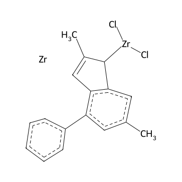 CC1=Cc2c(-c3ccccc3)cc(C)cc2[CH]1[Zr]([Cl])[Cl].[Zr]